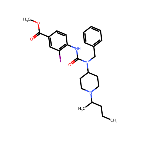 CCCC(C)N1CCC(N(Cc2ccccc2)C(=O)Nc2ccc(C(=O)OC)cc2I)CC1